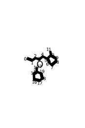 C=CCC(Cc1ccccc1C)OCc1ccccc1